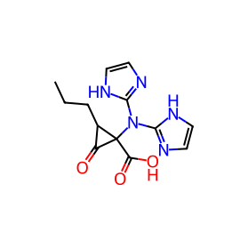 CCCC1C(=O)C1(C(=O)O)N(c1ncc[nH]1)c1ncc[nH]1